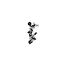 CCCOCN(C(=O)[C@@H](NC(=O)[C@H]1CCCCN1C)[C@@H](C)CC)[C@H](C[C@@H](OC(C)=O)c1nc(C(=O)N[C@@H](Cc2ccccc2)C[C@H](C)C(=O)O)cs1)C(C)C